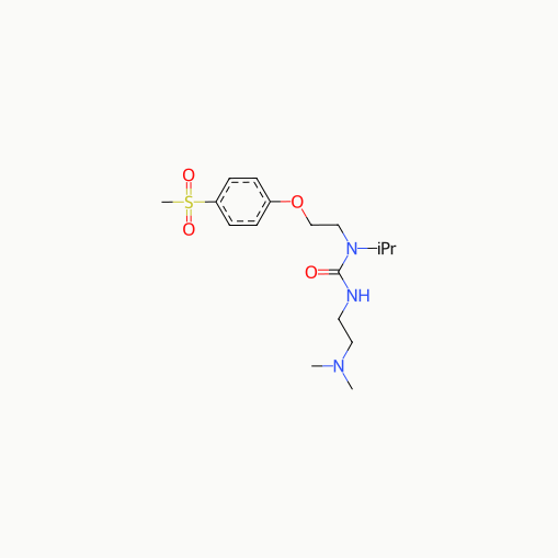 CC(C)N(CCOc1ccc(S(C)(=O)=O)cc1)C(=O)NCCN(C)C